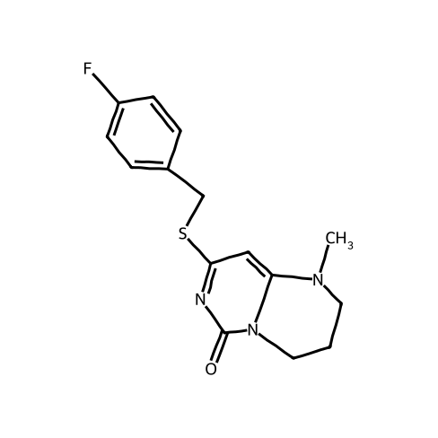 CN1CCCn2c1cc(SCc1ccc(F)cc1)nc2=O